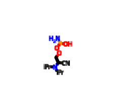 CC(C)N(C(C)C)C(C#N)COOP(N)O